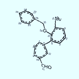 CC(C)(C)c1cccc(-c2cccc(C=O)c2)c1OCc1ccccc1